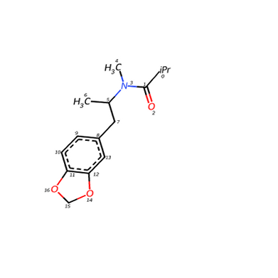 CC(C)C(=O)N(C)C(C)Cc1ccc2c(c1)OCO2